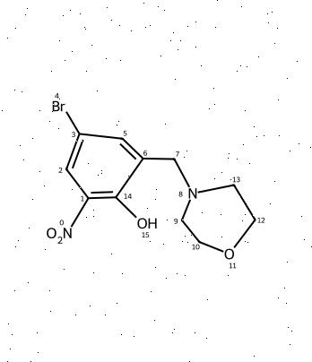 O=[N+]([O-])c1cc(Br)cc(CN2CCOCC2)c1O